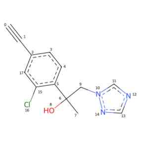 C#Cc1ccc(C(C)(O)Cn2cncn2)c(Cl)c1